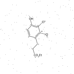 CCOC(=O)CCc1ccc(O)c(Cl)c1Cl